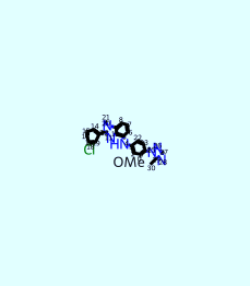 COc1cc(Nc2cccc3c2nc(-c2cccc(Cl)c2)n3C)ccc1-n1ncnc1C